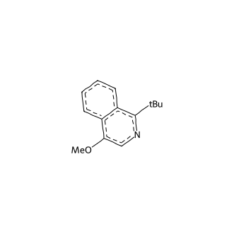 COc1cnc(C(C)(C)C)c2ccccc12